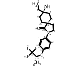 CC[C@]1(O)CC[C@]2(CCN(c3ccc(O[C@H](C)C(F)(F)F)cc3)C2=O)CC1